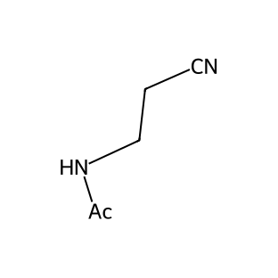 CC(=O)NCCC#N